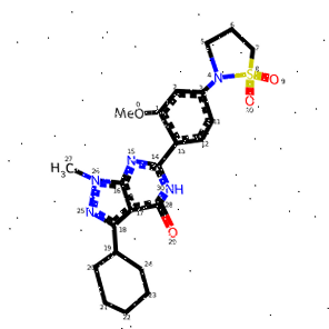 COc1cc(N2CCCS2(=O)=O)ccc1-c1nc2c(c(C3CCCCC3)nn2C)c(=O)[nH]1